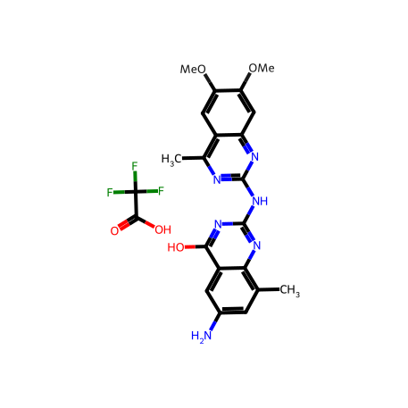 COc1cc2nc(Nc3nc(O)c4cc(N)cc(C)c4n3)nc(C)c2cc1OC.O=C(O)C(F)(F)F